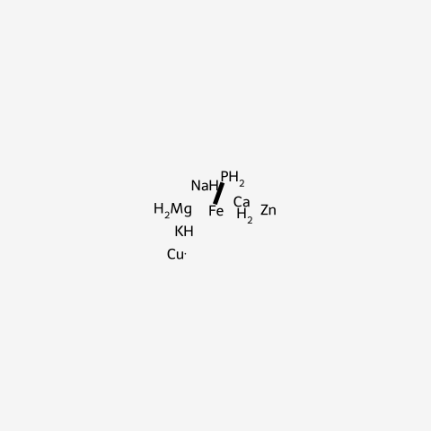 [CaH2].[Cu].[KH].[MgH2].[NaH].[PH2][Fe].[Zn]